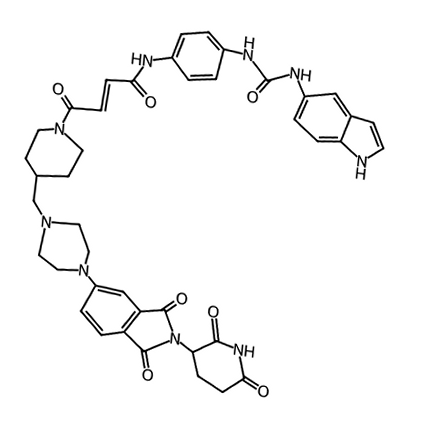 O=C(/C=C/C(=O)N1CCC(CN2CCN(c3ccc4c(c3)C(=O)N(C3CCC(=O)NC3=O)C4=O)CC2)CC1)Nc1ccc(NC(=O)Nc2ccc3[nH]ccc3c2)cc1